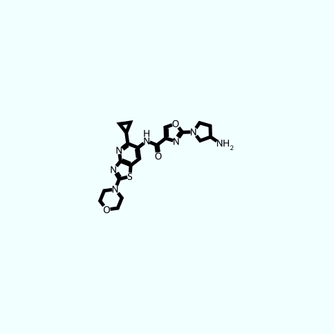 NC1CCN(c2nc(C(=O)Nc3cc4sc(N5CCOCC5)nc4nc3C3CC3)co2)C1